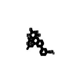 C[C@@H]1CN2c3cc(-c4cccc([N+](=O)[O-])c4)ccc3CC3(C(=O)NC(=O)NC3=O)[C@H]2[C@H](C)O1